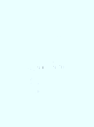 C[N+](C)(C)CCO.O=C([O-])CCCCCCCNC(=O)c1ccc(O)cc1